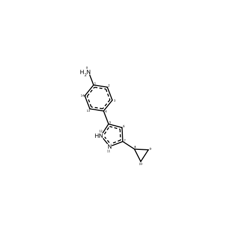 Nc1ccc(-c2cc(C3CC3)n[nH]2)cc1